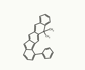 CC1(C)c2ccccc2C=c2cc3c(cc21)=c1c(-c2ccccc2)cccc1=C3